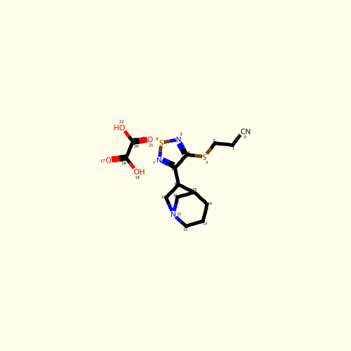 N#CCCSc1nsnc1C1CN2CCCC1C2.O=C(O)C(=O)O